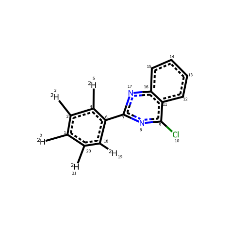 [2H]c1c([2H])c([2H])c(-c2nc(Cl)c3ccccc3n2)c([2H])c1[2H]